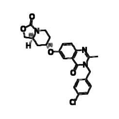 Cc1nc2ccc(O[C@H]3CCN4C(=O)OC[C@@H]4C3)cc2c(=O)n1Cc1ccc(Cl)cc1